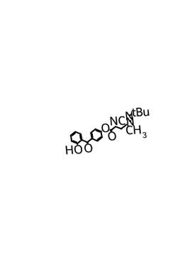 CC(C)(C)/N=N/C(C)(C#N)CCC(=O)Oc1ccc(C(=O)c2ccccc2O)cc1